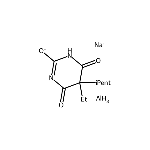 CCCC(C)C1(CC)C(=O)N=C([O-])NC1=O.[AlH3].[Na+]